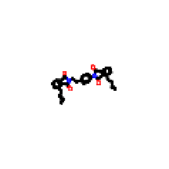 C=CCCC12C=CC(C1)C1C(=O)N(CCc3ccc(N4C(=O)C5C6C=CC(CCC=C)(C6)C5C4=O)cc3)C(=O)C12